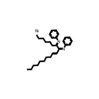 CCCCCCCCC=CC(=Nc1ccccc1)C(CCCCCC)=Nc1ccccc1.[Ni]